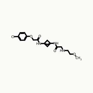 COCCNCC(=O)NC12CC(NC(=O)COc3ccc(Cl)cc3)(C1)C2